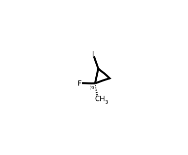 C[C@@]1(F)CC1I